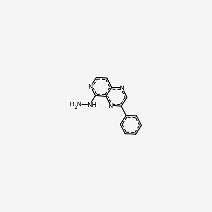 NNc1nccc2ncc(-c3ccccc3)nc12